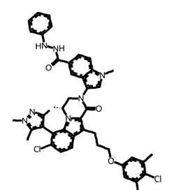 Cc1cc(OCCCc2c3n(c4c(-c5c(C)nn(C)c5C)c(Cl)ccc24)[C@H](C)CN(c2cn(C)c4ccc(C(=O)NNc5ccccc5)cc24)C3=O)cc(C)c1Cl